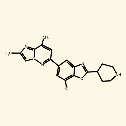 Cc1cn2nc(-c3cc(Cl)c4oc(C5CCNCC5)nc4c3)cc(C)c2n1